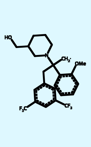 [CH2]C(Cc1cc(C(F)(F)F)cc(C(F)(F)F)c1)(c1ccccc1OC)N1CCCC(CO)C1